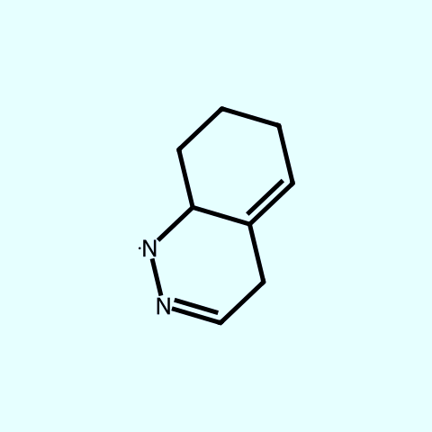 C1=N[N]C2CCCC=C2C1